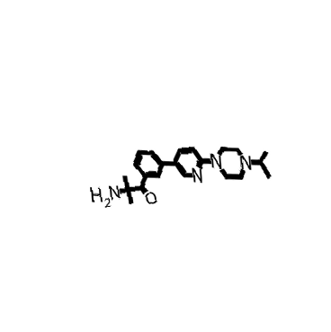 CC(C)N1CCN(c2ccc(-c3cccc(C(=O)C(C)(C)N)c3)cn2)CC1